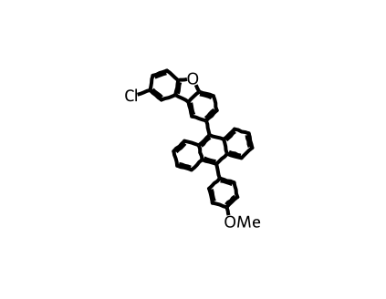 COc1ccc(-c2c3ccccc3c(-c3ccc4oc5ccc(Cl)cc5c4c3)c3ccccc23)cc1